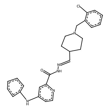 O=C(NN=CC1CCN(Cc2ccccc2Cl)CC1)c1cc(Nc2ccccc2)ccn1